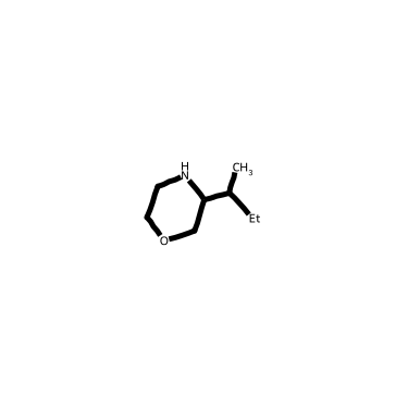 CC[C](C)C1COCCN1